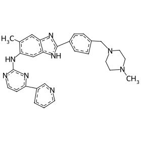 Cc1cc2nc(-c3ccc(CN4CCN(C)CC4)cc3)[nH]c2cc1Nc1nccc(-c2cccnc2)n1